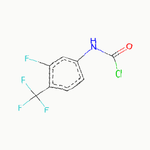 O=C(Cl)Nc1ccc(C(F)(F)F)c(F)c1